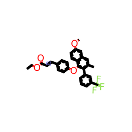 CCOC(=O)/C=C/c1ccc(Oc2c(-c3cccc(C(F)(F)F)c3)c(C)cc3cc(OC)ccc23)cc1